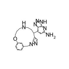 Nc1cc(C2CCNCCCOc3cccc(c3)Cn3cc2cn3)c2nn[nH]c2n1